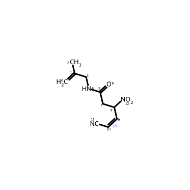 C=C(C)CNC(=O)CC(/C=C\C#N)[N+](=O)[O-]